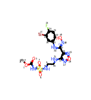 CC(C)OC(=O)NS(=O)(=O)NCCNc1nonc1/C(=N/O)Nc1ccc(F)c(Br)c1